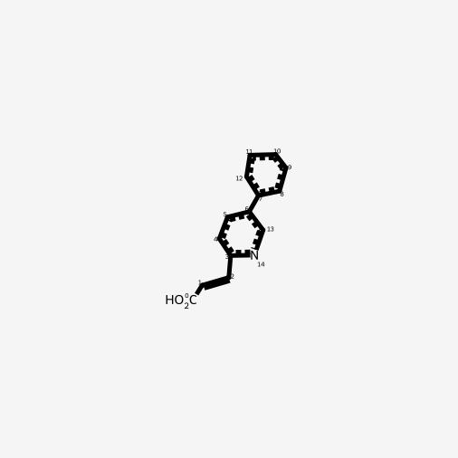 O=C(O)/C=C/c1ccc(-c2ccccc2)cn1